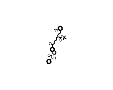 COc1ccccc1CCN(CCCCC(=O)c1ccc2c(c1)CCN2C(=O)Nc1ccccc1)C(=O)OC(C)(C)C